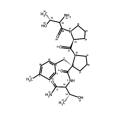 Cc1ccc(C[C@@]2(C(=O)NC(C(N)=O)[C@@H](C)O)CCCN2C(=O)[C@@H]2CCCN2C(=O)C(N)[C@@H](C)O)cc1